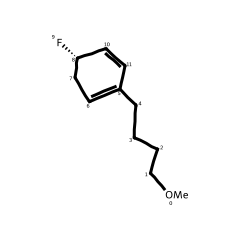 COCCCCC1=CC[C@H](F)C=C1